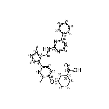 Cc1nc(-c2nnn(C)c2CNc2ncnc(-c3ccccc3)n2)ccc1O[C@H]1CCC[C@H](C(=O)O)C1